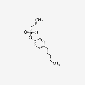 C=CCS(=O)(=O)Oc1ccc(CCCCC)cc1